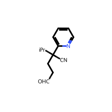 CC(C)C(C#N)(CCC=O)c1ccccn1